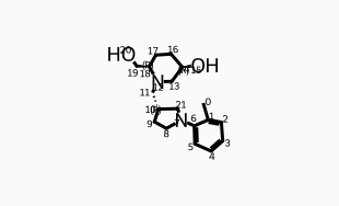 Cc1ccccc1N1CC[C@H](CN2C[C@H](O)CC[C@@H]2CO)C1